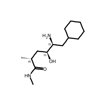 CNC(=O)[C@H](C)C[C@H](O)[C@@H](N)CC1CCCCC1